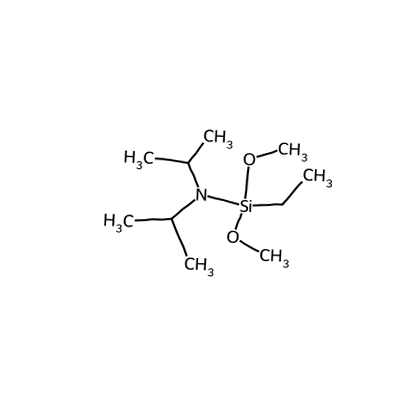 CC[Si](OC)(OC)N(C(C)C)C(C)C